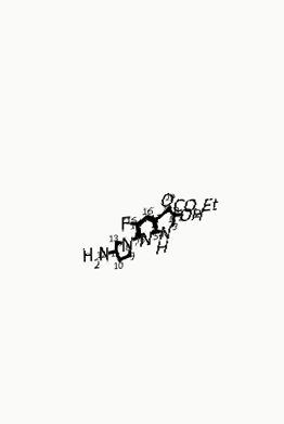 CCOC(=O)C1(O)CNc2nc(N3CCC(N)C3)c(F)cc2C1=O